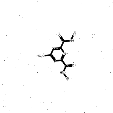 CCNC(=O)c1cc(C(=O)O)cc(C(=O)NCC)n1